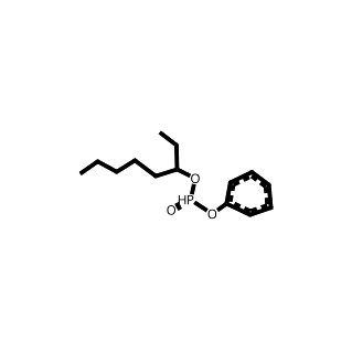 CCCCCC(CC)O[PH](=O)Oc1ccccc1